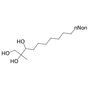 CCCCCCCCCCCCCCCCC(O)C(C)(O)CO